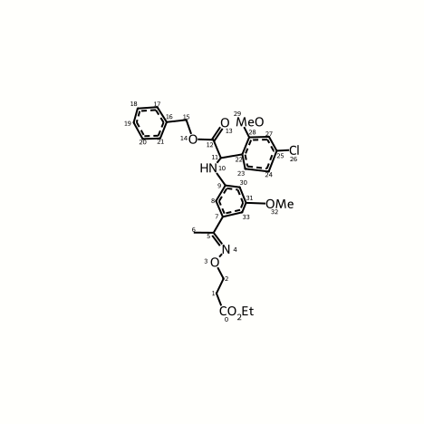 CCOC(=O)CCON=C(C)c1cc(NC(C(=O)OCc2ccccc2)c2ccc(Cl)cc2OC)cc(OC)c1